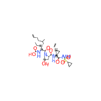 C=CCCC(C)C[C@@H](CC)[C@H](NC(=O)O)C(=O)N1C[C@H](O)CC1C(=O)N[C@]1(C(=O)NS(=O)(=O)C2CC2)C[C@H]1C=C